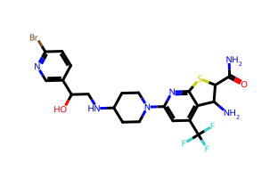 NC(=O)C1Sc2nc(N3CCC(NCC(O)c4ccc(Br)nc4)CC3)cc(C(F)(F)F)c2C1N